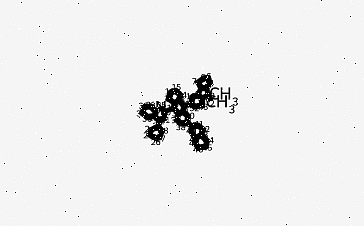 CC1(C)c2ccccc2-c2cc(-c3c4ccccc4c(-c4cc(-c5ccccc5)c5ccccc5n4)c4ccc(-c5ccc6ccccc6c5)cc34)ccc21